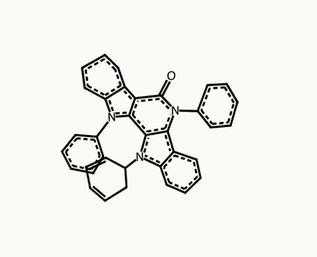 O=c1c2c3ccccc3n(-c3ccccc3)c2c2c(c3ccccc3n2C2C=CC=CC2)n1-c1ccccc1